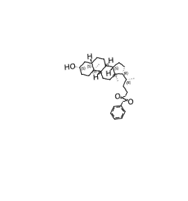 C[C@H](CCS(=O)(=O)c1ccccc1)[C@H]1CC[C@H]2[C@@H]3CC[C@H]4C[C@@H](O)CC[C@]4(C)[C@H]3CC[C@]12C